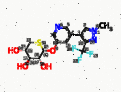 Cn1cc(-c2cncc(O[C@@H]3SC[C@@H](O)[C@H](O)[C@H]3O)c2)c(C(F)(F)F)n1